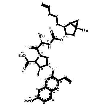 C=CCCC[C@H]1C2C[C@@H]2C[C@@H]1OC(=O)N[C@H](C(=O)N1C[C@H](Oc2nc3cc(OC)ccc3nc2C=C)[C@@H](C)[C@H]1C(=O)OCC(C)C)C(C)(C)C